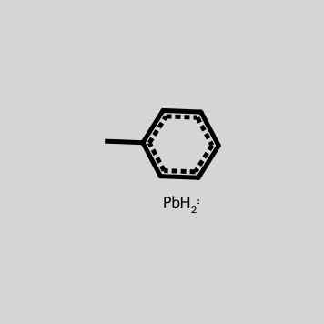 Cc1ccccc1.[PbH2]